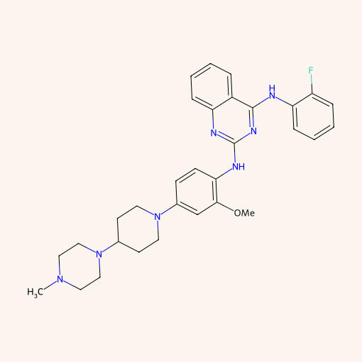 COc1cc(N2CCC(N3CCN(C)CC3)CC2)ccc1Nc1nc(Nc2ccccc2F)c2ccccc2n1